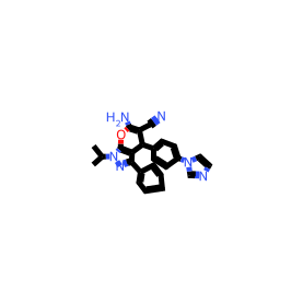 CC(C)n1nc(-c2ccccc2)c2c1OC(N)=C(C#N)C2c1ccc(-n2ccnc2)cc1